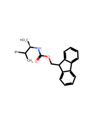 CC(C)C(C)[C@H](NC(=O)OCC1c2ccccc2-c2ccccc21)C(=O)O